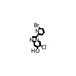 Oc1cc2ncc(-c3cccc(Br)n3)n2cc1Cl